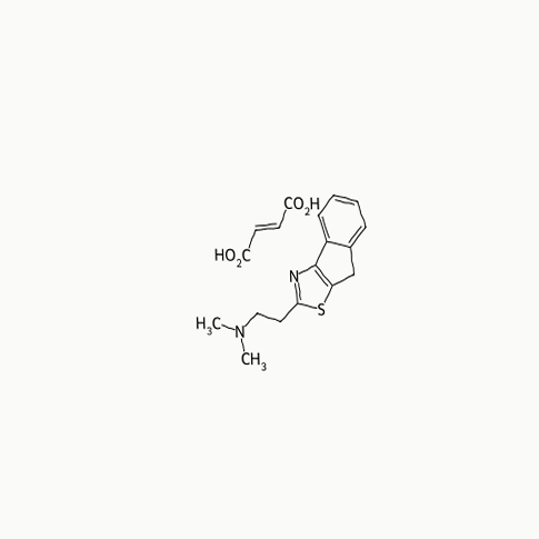 CN(C)CCc1nc2c(s1)Cc1ccccc1-2.O=C(O)C=CC(=O)O